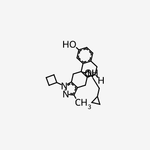 Cc1nn(C2CCC2)c2c1C[C@@]1(O)[C@H]3Cc4ccc(O)cc4[C@@]1(CCN3CC1CC1)C2